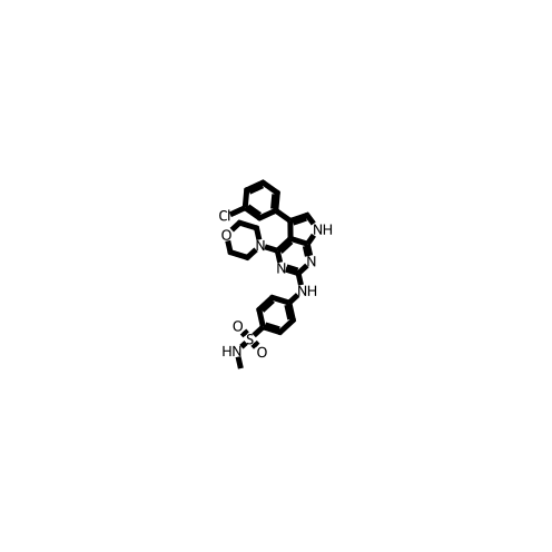 CNS(=O)(=O)c1ccc(Nc2nc(N3CCOCC3)c3c(-c4cccc(Cl)c4)c[nH]c3n2)cc1